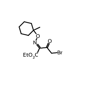 CCOC(=O)C(=NOC1(C)CCCCC1)C(=O)CBr